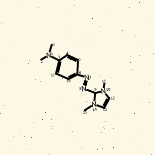 CN(C)c1ccc(N=NC2N(C)C=CN2C)cc1